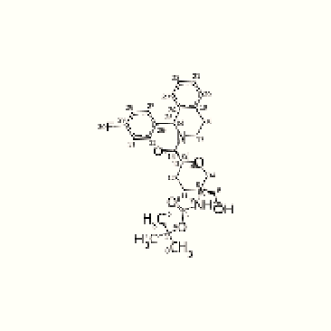 CC(C)(C)OC(=O)N[C@]1(CO)CC[C@@H](C(=O)N2CCc3ccccc3[C@@H]2c2ccc(F)cc2)OC1